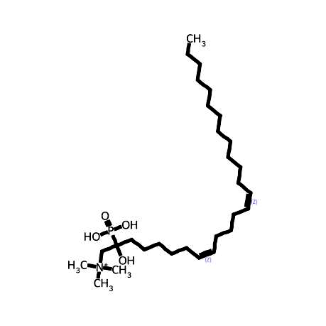 CCCCCCCCCCCC/C=C\CCC/C=C\CCCCCC(O)(C[N+](C)(C)C)P(=O)(O)O